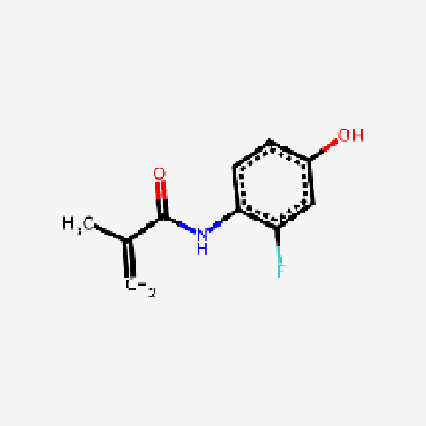 C=C(C)C(=O)Nc1ccc(O)cc1F